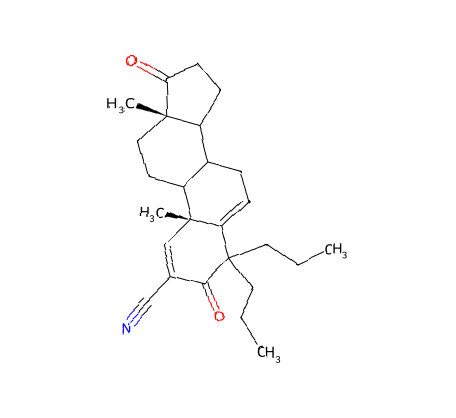 CCCC1(CCC)C(=O)C(C#N)=C[C@@]2(C)C1=CCC1C2CC[C@]2(C)C(=O)CCC12